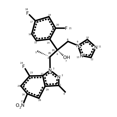 Cc1nn([C@H](C)[C@](O)(Cn2cncn2)c2ccc(F)cc2F)c2c(F)cc([N+](=O)[O-])cc12